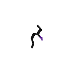 C/C=C(I)\C=C/CC